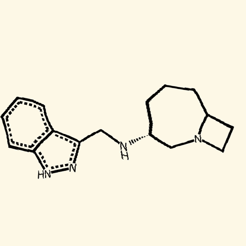 c1ccc2c(CN[C@@H]3CCCC4CCN4C3)n[nH]c2c1